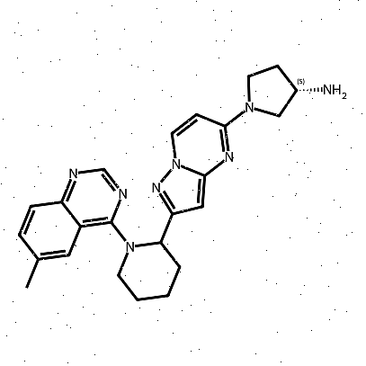 Cc1ccc2ncnc(N3CCCCC3c3cc4nc(N5CC[C@H](N)C5)ccn4n3)c2c1